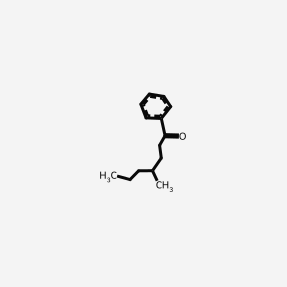 CCCC(C)CCC(=O)c1ccccc1